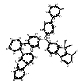 CC1CC=CC2=C1C(C)(C)c1cc(N(c3ccc(-c4ccccc4)cc3)c3ccc(-c4ccccc4-c4cccc5c4oc4ccccc45)cc3)ccc12